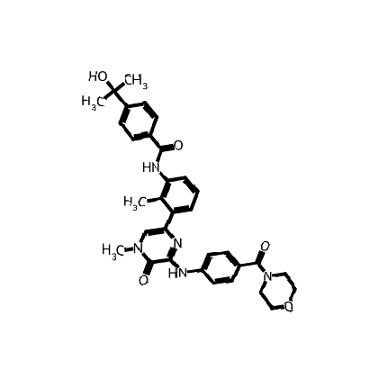 Cc1c(NC(=O)c2ccc(C(C)(C)O)cc2)cccc1-c1cn(C)c(=O)c(Nc2ccc(C(=O)N3CCOCC3)cc2)n1